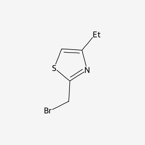 CCc1csc(CBr)n1